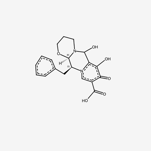 O=C(O)c1cn2c(c(O)c1=O)C(O)N1CCCO[C@@H]1[C@@H]2Cc1ccccc1